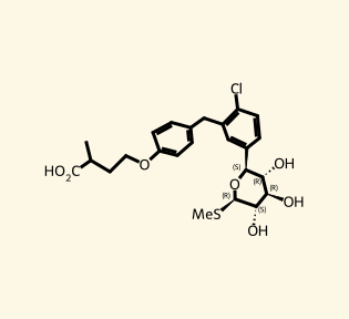 CS[C@H]1O[C@@H](c2ccc(Cl)c(Cc3ccc(OCCC(C)C(=O)O)cc3)c2)[C@H](O)[C@@H](O)[C@@H]1O